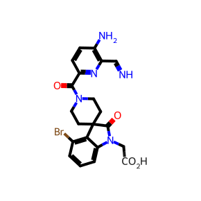 N=Cc1nc(C(=O)N2CCC3(CC2)C(=O)N(CC(=O)O)c2cccc(Br)c23)ccc1N